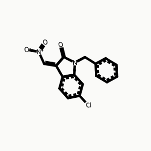 O=C1C(=C[N+](=O)[O-])c2ccc(Cl)cc2N1Cc1ccccc1